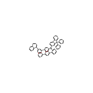 c1ccc(-c2ccc(-c3ccccc3N(c3ccc(-c4cccc(-c5cccc6ccccc56)c4)cc3)c3ccc4c(c3)C(c3ccccc3)(c3ccccc3)c3ccccc3-4)cc2)cc1